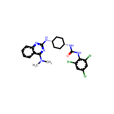 CN(C)c1nc(N[C@H]2CC[C@@H](NC(=O)Nc3c(Br)cc(Br)cc3Br)CC2)nc2ccccc12